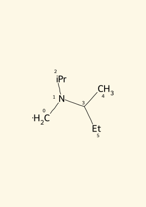 [CH2]N(C(C)C)C(C)CC